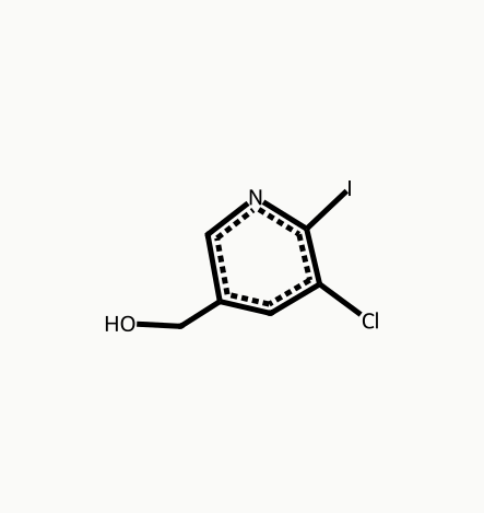 OCc1cnc(I)c(Cl)c1